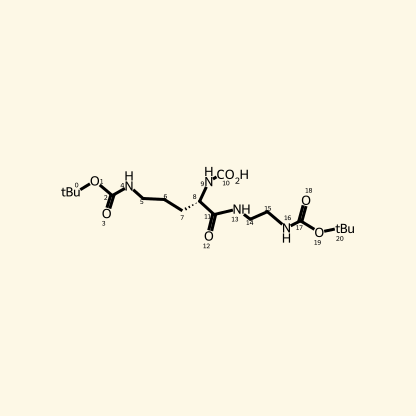 CC(C)(C)OC(=O)NCCC[C@H](NC(=O)O)C(=O)NCCNC(=O)OC(C)(C)C